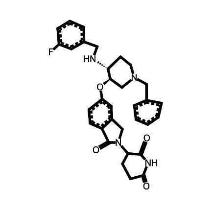 O=C1CCC(N2Cc3cc(O[C@@H]4CN(Cc5ccccc5)CC[C@H]4NCc4cccc(F)c4)ccc3C2=O)C(=O)N1